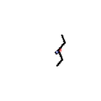 CCCCCCCC/C=C\CCCCCCCC(=O)CC(C[N+](CC)(CC)CC)C(=O)CCCCCCC/C=C\CCCCCCCC